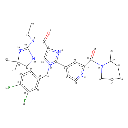 CCN1C(=O)c2nc(-c3ccnc(C(=O)N4CCCCC4C)c3)n(Cc3ccc(F)c(F)c3)c2N2CC(C)(C)N=C12